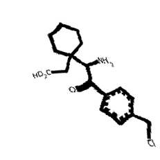 NC(C(=O)c1ccc(CCl)cc1)C1(CC(=O)O)CCCCC1